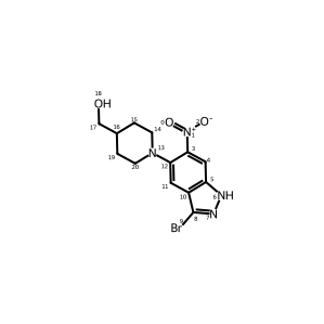 O=[N+]([O-])c1cc2[nH]nc(Br)c2cc1N1CCC(CO)CC1